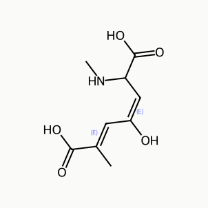 CNC(/C=C(O)\C=C(/C)C(=O)O)C(=O)O